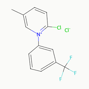 Cc1ccc(Cl)[n+](-c2cccc(C(F)(F)F)c2)c1.[Cl-]